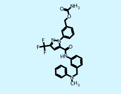 CN(Cc1cccc(NC(=O)c2cc(C(F)(F)F)nn2-c2cccc(COC(N)=O)c2)c1)c1ccccc1